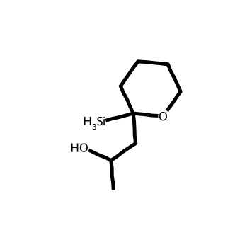 CC(O)CC1([SiH3])CCCCO1